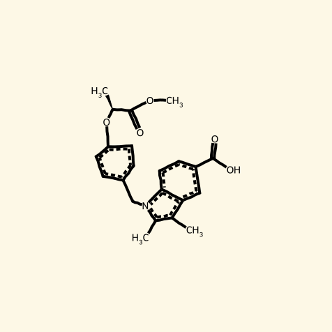 COC(=O)[C@H](C)Oc1ccc(Cn2c(C)c(C)c3cc(C(=O)O)ccc32)cc1